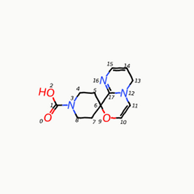 O=C(O)N1CCC2(CC1)OC=CN1CC=CN=C12